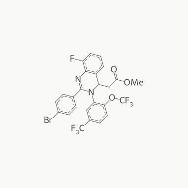 COC(=O)CC1c2cccc(F)c2N=C(c2ccc(Br)cc2)N1c1cc(C(F)(F)F)ccc1OC(F)(F)F